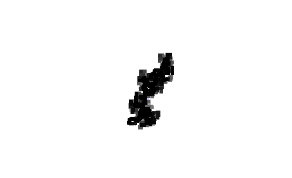 C[C@@H](NC(=O)c1ccc(/C(F)=C/C(c2cc(Cl)c(C(F)F)c(Cl)c2)C(F)(F)F)cc1C(F)(F)F)C(=O)NCC(F)(F)F